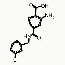 Nc1cc(C(=O)NCc2cccc(Cl)c2)ccc1C(=O)O